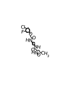 CC1CC(C(=O)NC23CC(NC(=O)COc4ccc(Cl)c(F)c4)(C2)C3)NO1